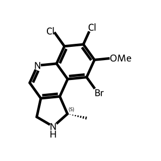 COc1c(Cl)c(Cl)c2ncc3c(c2c1Br)[C@H](C)NC3